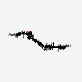 COC(=O)c1ccc(OCC(=O)NCCC(=O)N2Cc3ccccc3-c3c(nnn3CCOc3ccc(C(=O)Oc4ccc(CS[PH](=O)O[C@H]5[C@@H](F)[C@H](n6cnc7c(NC/C=C/CNc8ncnc9c8ncn9[C@@H]8O[C@H](CO)C[C@H]8F)ncnc76)O[C@@H]5CO)cc4)cc3)-c3ccccc32)cc1